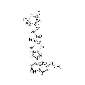 COc1ccc2nccc(-n3cc4c(n3)CCC(NC(=O)C=Cc3cc(F)cc(F)c3)C4)c2n1